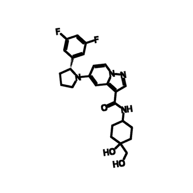 O=C(NC1CCC(O)(CO)CC1)c1cnn2ccc(N3CCC[C@@H]3c3cc(F)cc(F)c3)cc12